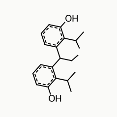 CCC(c1cccc(O)c1C(C)C)c1cccc(O)c1C(C)C